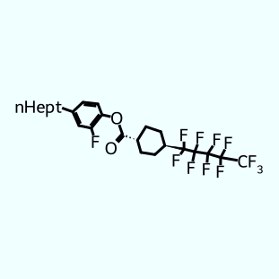 CCCCCCCc1ccc(OC(=O)[C@H]2CC[C@H](C(F)(F)C(F)(F)C(F)(F)C(F)(F)C(F)(F)F)CC2)c(F)c1